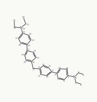 CCN(CC)c1ccc(-c2ccc(Cc3ccc(-c4ccc(N(CC)CC)cc4)cc3)cc2)cc1